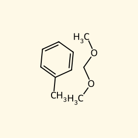 COCOC.Cc1ccccc1